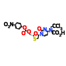 O=C(OC[C@@H]1O[C@H](n2ccc(N(CC(Cl)(Cl)Cl)C(=O)O)nc2=O)CS1)Oc1ccc([N+](=O)[O-])cc1